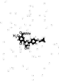 CNC(=O)c1cc(-c2nc(O)nc(-c3ccc(OCC4CC4)cc3)n2)c(Cl)cc1C